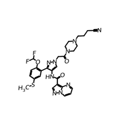 CSc1ccc(OC(F)F)c(-c2nn(CC(=O)N3CCN(CCCC#N)CC3)cc2NC(=O)c2cnn3cccnc23)c1